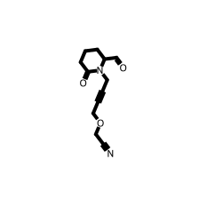 N#CCOCC#CCN1C(=O)CCCC1C=O